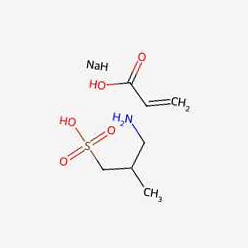 C=CC(=O)O.CC(CN)CS(=O)(=O)O.[NaH]